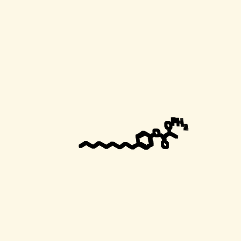 CCCCCCCCCc1ccc(OC(=O)C(C)OP)cc1